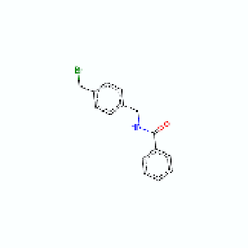 O=C(NCc1ccc(CBr)cc1)c1ccccc1